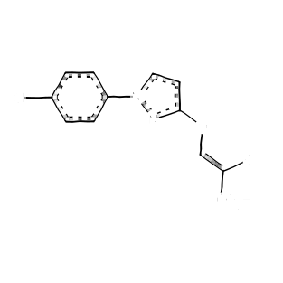 C/C(=C\Oc1ccn(-c2ccc(Cl)cc2)n1)C(=O)O